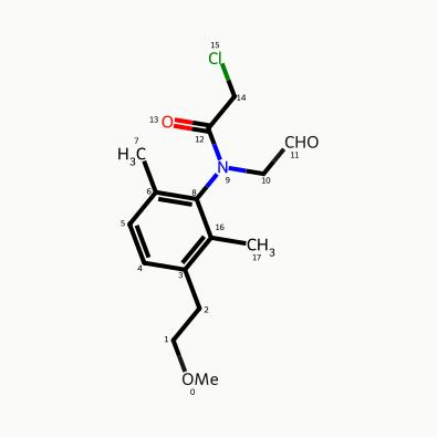 COCCc1ccc(C)c(N(CC=O)C(=O)CCl)c1C